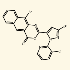 O=c1oc(-c2cc(Br)nn2-c2ncccc2Cl)nc2c(Br)c3ccccc3cc12